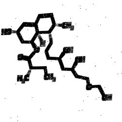 CC[C@H](C)C(=O)O[C@H]1C[C@H](O)C=C2C=C[C@H](C)[C@H](CCC[C@@H](O)C[C@@H](O)CCOCO)[C@H]21